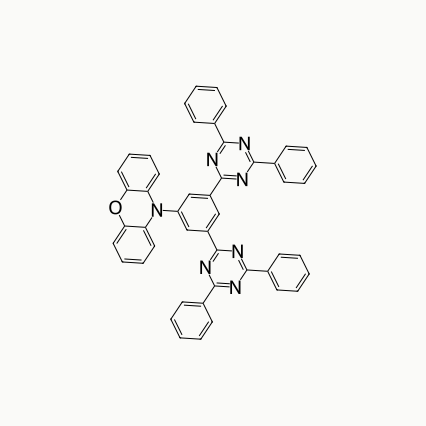 c1ccc(-c2nc(-c3ccccc3)nc(-c3cc(-c4nc(-c5ccccc5)nc(-c5ccccc5)n4)cc(N4c5ccccc5Oc5ccccc54)c3)n2)cc1